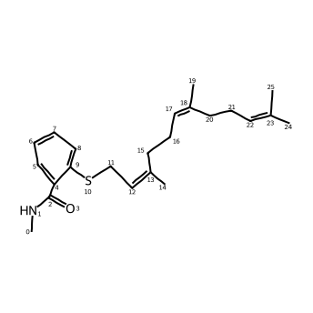 CNC(=O)c1ccccc1SCC=C(C)CCC=C(C)CCC=C(C)C